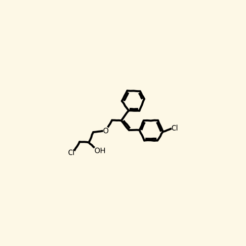 OC(CCl)COC/C(=C/c1ccc(Cl)cc1)c1ccccc1